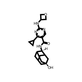 O=C(N[C@H]1C2CC3CC1C[C@@](O)(C3)C2)c1cnc(NC2COC2)nc1C1CC1